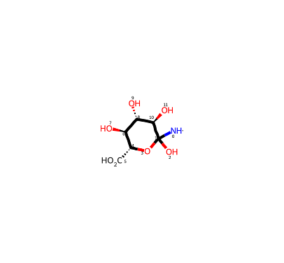 [NH]C1(O)O[C@H](C(=O)O)[C@@H](O)[C@H](O)[C@H]1O